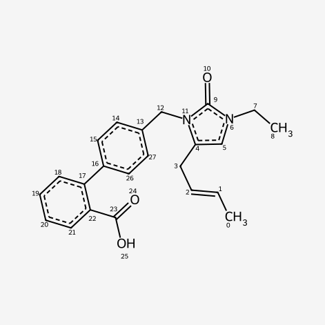 C/C=C/Cc1cn(CC)c(=O)n1Cc1ccc(-c2ccccc2C(=O)O)cc1